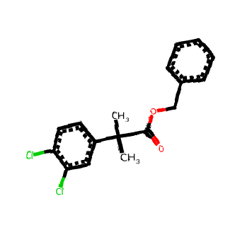 CC(C)(C(=O)OCc1ccccc1)c1ccc(Cl)c(Cl)c1